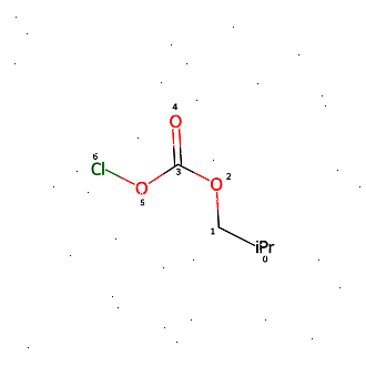 CC(C)COC(=O)OCl